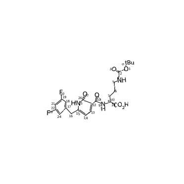 CC(C)(C)OC(=O)NCCC[C@H](NC(=O)c1ccc(Cc2cc(F)cc(F)c2)[nH]c1=O)C(=O)O